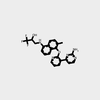 Cc1ccc2c(NCC(O)C(F)(F)F)cccc2c1Oc1ncccc1-c1ccnc(N)n1